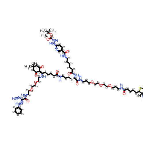 CC1(C)CC(=O)C(=C(CCCCC(=O)NCCCC[C@H](NC(=O)CCCCCNC(=O)c2ccc(NNC(=O)OC(C)(C)C)nc2)C(=O)NCCCOCCOCCOCCCNC(=O)CCCCC2SC[C@@H]3NC(=O)N[C@H]23)NCCOCCOCCNC(=O)/C(N=N)=N/Nc2ccccc2)C(=O)C1